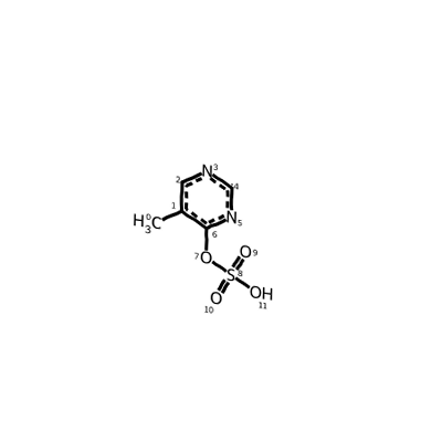 Cc1cn[c]nc1OS(=O)(=O)O